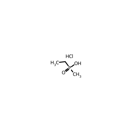 CCP(C)(=O)O.Cl